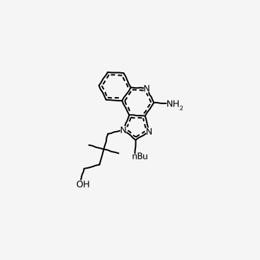 CCCCc1nc2c(N)nc3ccccc3c2n1CC(C)(C)CCO